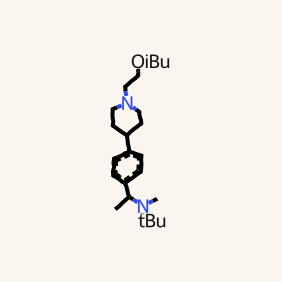 CC(C)COCCN1CCC(c2ccc(C(C)N(C)C(C)(C)C)cc2)CC1